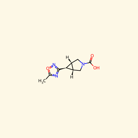 Cc1nc([C@H]2[C@@H]3CN(C(=O)O)C[C@@H]32)no1